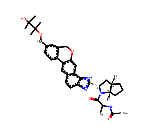 COC(=O)NC(C(=O)N1[C@H](c2nc3ccc4cc5c(cc4c3[nH]2)OCc2cc(BOC(C)(C)C(C)(C)O)ccc2-5)C[C@@H]2CCC[C@@H]21)C(C)C